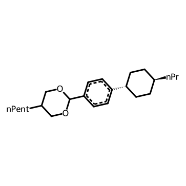 CCCCCC1COC(c2ccc([C@H]3CC[C@H](CCC)CC3)cc2)OC1